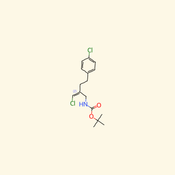 CC(C)(C)OC(=O)NC/C(=C\Cl)CCc1ccc(Cl)cc1